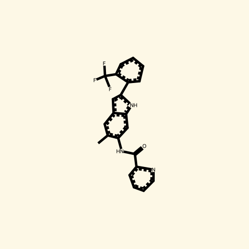 Cc1cc2cc(-c3ccccc3C(F)(F)F)[nH]c2cc1NC(=O)c1ccccn1